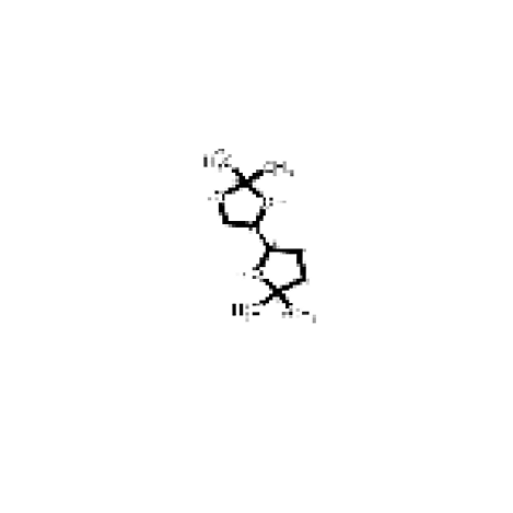 CC1(C)CCC([C@H]2COC(C)(C)O2)O1